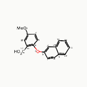 COc1ccc(Oc2ccc3ccccc3c2)c(C(=O)O)c1